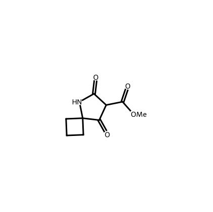 COC(=O)C1C(=O)NC2(CCC2)C1=O